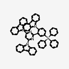 c1ccc([Si](c2ccccc2)(c2ccccc2)c2ccc(-n3c4ccccc4c4ccccc43)c(-c3nc(-n4c5ccccc5c5ccccc54)cc(-n4c5ccccc5c5ccccc54)n3)c2)cc1